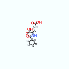 O=C(O)CCC=C(NC(=O)c1ccccc1)C(=O)O